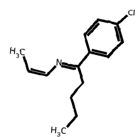 C/C=C\N=C(/CCCC)c1ccc(Cl)cc1